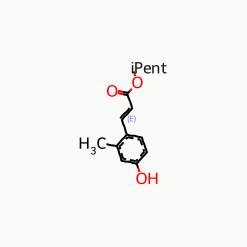 CCCC(C)OC(=O)/C=C/c1ccc(O)cc1C